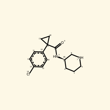 O=C(N[C@@H]1CCCNC1)C1(c2ccc(Cl)cc2)CC1